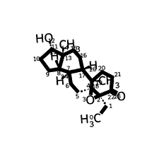 CC[C@]12O[C@]13CC[C@H]1[C@@H]4CC[C@H](O)[C@@]4(C)CC[C@@H]1[C@@]3(C)CCC2=O